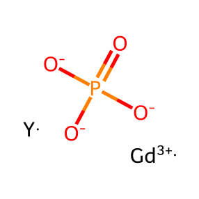 O=P([O-])([O-])[O-].[Gd+3].[Y]